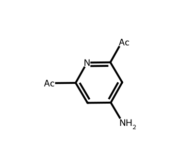 CC(=O)c1cc(N)cc(C(C)=O)n1